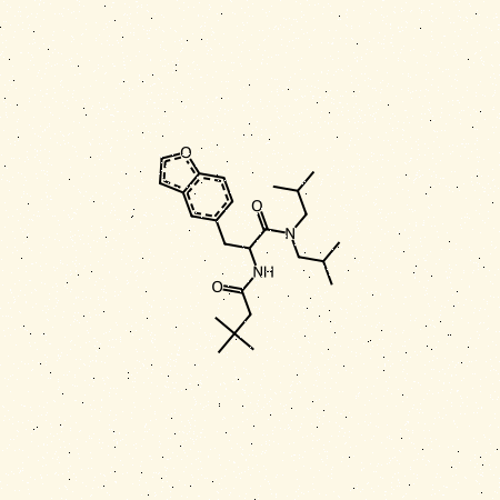 CC(C)CN(CC(C)C)C(=O)C(Cc1ccc2occc2c1)NC(=O)CC(C)(C)C